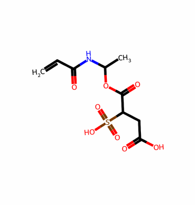 C=CC(=O)NC(C)OC(=O)C(CC(=O)O)S(=O)(=O)O